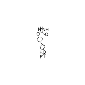 O=Cc1[nH]nnc1O[C@H]1CC[C@H](c2ccc(OC(F)(F)F)cc2)CC1